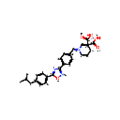 CC(C)Cc1ccc(-c2nc(-c3ccc(CN4CCCC(C(=O)O)(C(=O)O)C4)cc3)no2)cc1